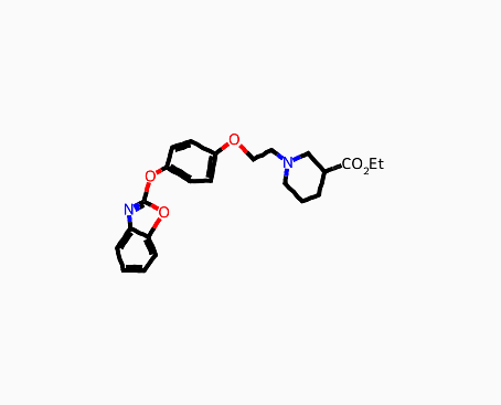 CCOC(=O)C1CCCN(CCOc2ccc(Oc3nc4ccccc4o3)cc2)C1